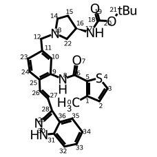 Cc1ccsc1C(=O)Nc1cc(CN2CC[C@@H](NC(=O)OC(C)(C)C)C2)ccc1C=Cc1n[nH]c2ccccc12